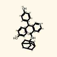 O=C(NC12CC3CC(CC(C3)C1)C2)c1ccncc1C(c1ccc(O)cc1)c1ccc(O)cc1